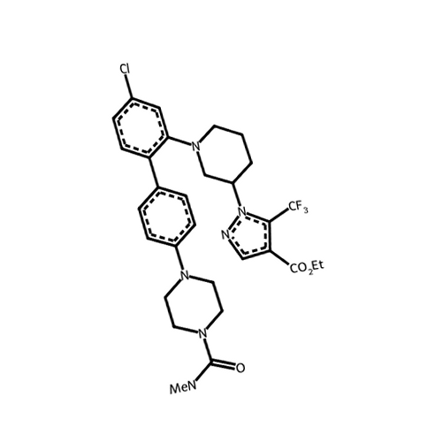 CCOC(=O)c1cnn(C2CCCN(c3cc(Cl)ccc3-c3ccc(N4CCN(C(=O)NC)CC4)cc3)C2)c1C(F)(F)F